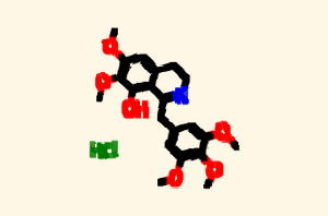 COc1cc(CC2=NCCc3cc(OC)c(OC)c(O)c32)cc(OC)c1OC.Cl